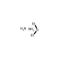 CCOCC.N.N